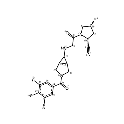 N#C[C@@H]1C[C@H](F)CN1C(=O)CNC1C2CN(C(=O)c3cc(F)c(F)c(F)c3)CC21